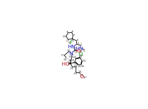 CNCC(CC1(F)CCCCC1)NC(=O)N1CCC[C@@H]([C@@](O)(CCCCOC)c2cccc(Cl)c2)C1